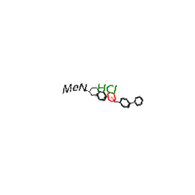 CNCC1CCc2cc(OCc3ccc(-c4ccccc4)cc3)ccc2C1.Cl